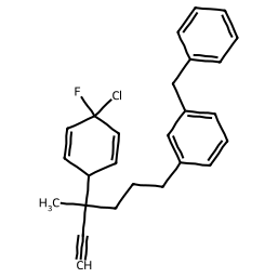 C#CC(C)(CCCc1cccc(Cc2ccccc2)c1)C1C=CC(F)(Cl)C=C1